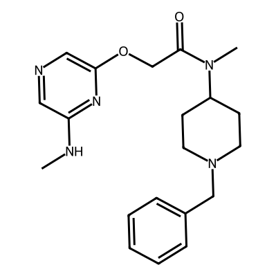 CNc1cncc(OCC(=O)N(C)C2CCN(Cc3ccccc3)CC2)n1